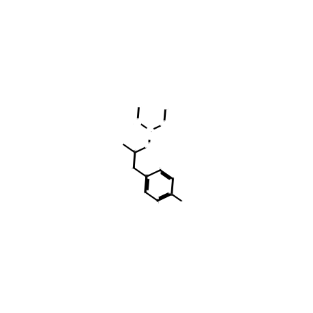 CO[SiH](OC)OC(C)Cc1ccc(F)cc1